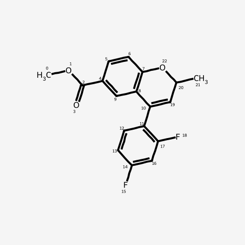 COC(=O)c1ccc2c(c1)C(c1ccc(F)cc1F)=CC(C)O2